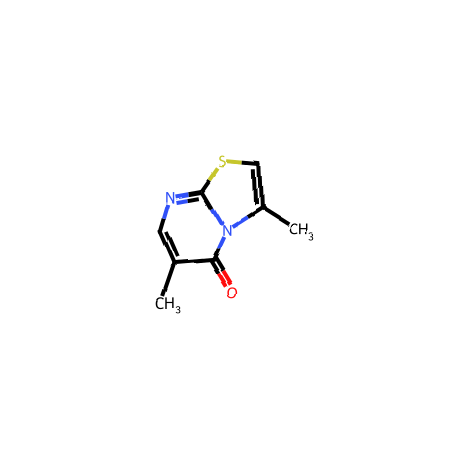 Cc1cnc2scc(C)n2c1=O